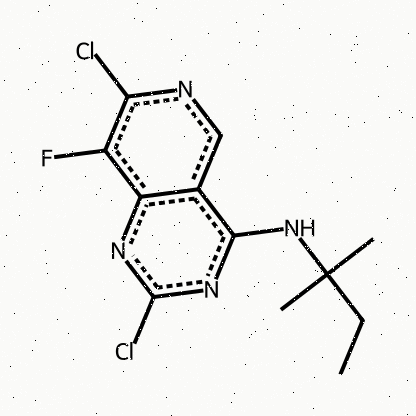 CCC(C)(C)Nc1nc(Cl)nc2c(F)c(Cl)ncc12